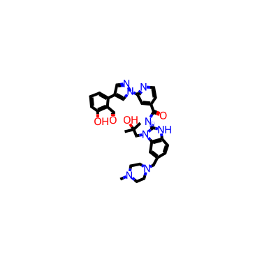 CN1CCN(Cc2ccc3[nH]/c(=N\C(=O)c4ccnc(-n5cc(-c6cccc(O)c6C=O)cn5)c4)n(CC(C)(C)O)c3c2)CC1